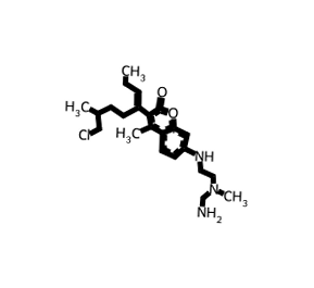 CC/C=C(\CCC(C)CCl)c1c(C)c2ccc(NCCN(C)CN)cc2oc1=O